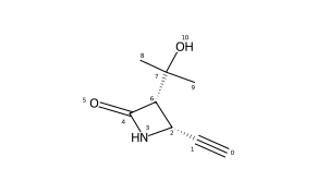 C#C[C@@H]1NC(=O)[C@@H]1C(C)(C)O